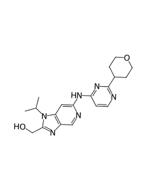 CC(C)n1c(CO)nc2cnc(Nc3ccnc(C4CCOCC4)n3)cc21